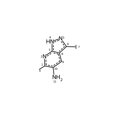 Cc1nc2[nH]nc(I)c2cc1N